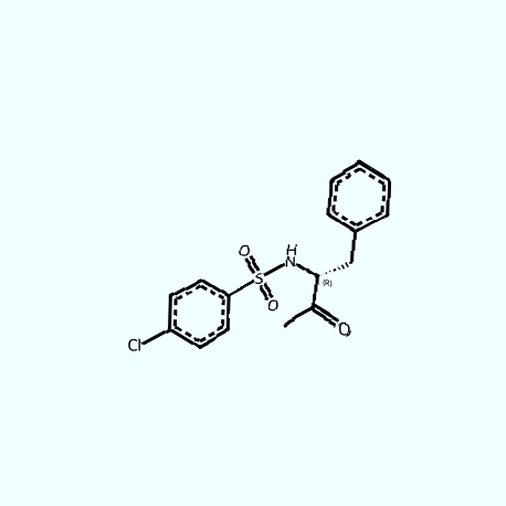 CC(=O)[C@@H](Cc1ccccc1)NS(=O)(=O)c1ccc(Cl)cc1